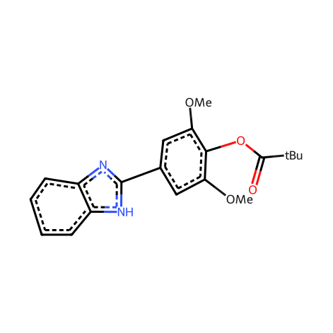 COc1cc(-c2nc3ccccc3[nH]2)cc(OC)c1OC(=O)C(C)(C)C